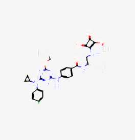 CCOc1c(NC[C@H](NC(=O)c2ccc(Nc3nc(OCC(F)(F)F)nc(N(c4ccc(Cl)cc4)C4CC4)n3)cc2)C(=O)O)c(=O)c1=O